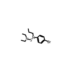 CCCN(SN(CC)CC)c1ccc(Br)cc1